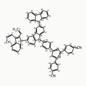 C=Cc1c(/C=C\C)c2ccccc2n1-c1ccc2c(c1)c1cc(-n3c4ccccc4c4ccccc43)ccc1n2-c1ccc(-c2cc(-c3ccc(C#N)cc3)nc(-c3ccc(C#N)cc3)n2)cc1